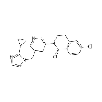 O=C1c2ccc(Cl)cc2CCN1c1cncc(Cn2ccnc2C2CC2)c1